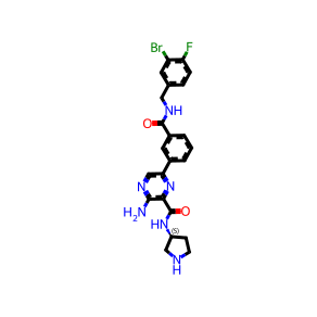 Nc1ncc(-c2cccc(C(=O)NCc3ccc(F)c(Br)c3)c2)nc1C(=O)N[C@H]1CCNC1